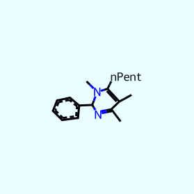 CCCCCC1=C(C)C(C)=NC(c2ccccc2)N1C